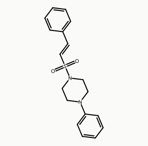 O=S(=O)(C=Cc1ccccc1)N1CCN(c2ccccc2)CC1